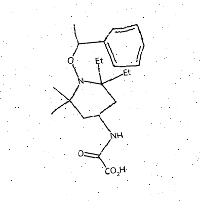 CCC1(CC)CC(NC(=O)C(=O)O)CC(C)(C)N1OC(C)c1ccccc1